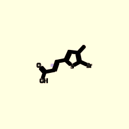 Cc1cc(/C=C/C(=O)O)sc1Br